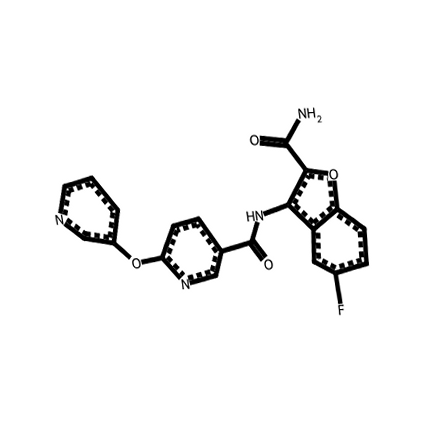 NC(=O)c1oc2ccc(F)cc2c1NC(=O)c1ccc(Oc2cccnc2)nc1